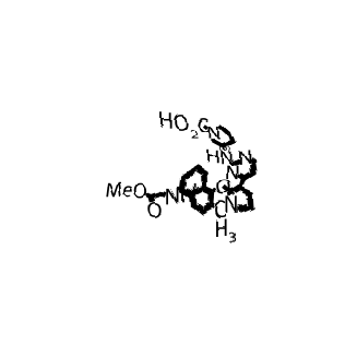 COC(=O)CNc1cccc2c(Oc3ncccc3-c3ccnc(N[C@H]4CCCN(C(=O)O)C4)n3)c(C)ccc12